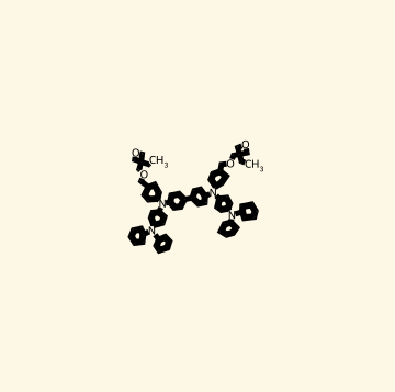 CCC1(COCc2ccc(N(c3ccc(-c4ccc(N(c5ccc(COCC6(CC)COC6)cc5)c5ccc(N(c6ccccc6)c6ccccc6)cc5)cc4)cc3)c3ccc(N(c4ccccc4)c4ccccc4)cc3)cc2)COC1